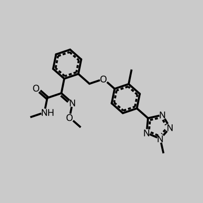 CNC(=O)C(=NOC)c1ccccc1COc1ccc(-c2nnn(C)n2)cc1C